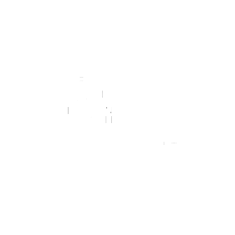 Cc1ccc2c(c1)NC(C(F)(F)F)(C(F)(F)F)C2